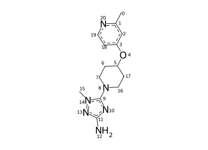 Cc1cc(OC2CCN(c3nc(N)nn3C)CC2)ccn1